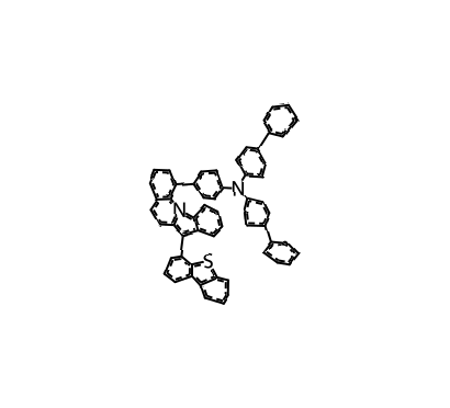 c1ccc(-c2ccc(N(c3ccc(-c4ccccc4)cc3)c3ccc(-c4cccc5ccc6c(-c7cccc8c7sc7ccccc78)c7ccccc7n6c45)cc3)cc2)cc1